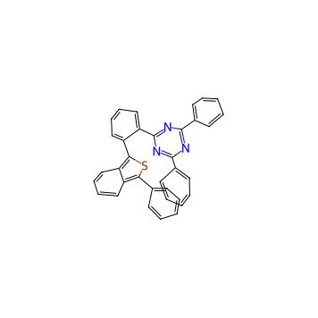 c1ccc(-c2nc(-c3ccccc3)nc(-c3ccccc3-c3sc(-c4ccccc4)c4ccccc34)n2)cc1